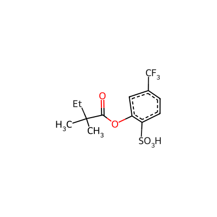 CCC(C)(C)C(=O)Oc1cc(C(F)(F)F)ccc1S(=O)(=O)O